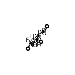 O=C(CCNC(=O)OCc1ccccc1)N[C@@H](CC(F)(F)F)C(=O)N(Cc1ccccc1)C[C@H](O)C(=O)NCc1ccccc1